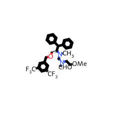 COCCN(C=O)CN(C)[C@H](COCc1cc(C(F)(F)F)cc(C(F)(F)F)c1)C(c1ccccc1)c1ccccc1